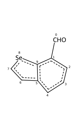 O=Cc1cccc2cc[se]c12